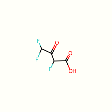 O=C(O)C(F)C(=O)C(F)F